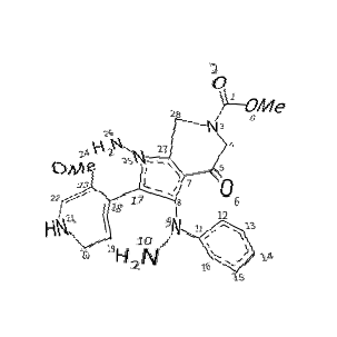 COC(=O)N1CC(=O)c2c(N(N)c3ccccc3)c(C3=CCNC=C3OC)n(N)c2C1